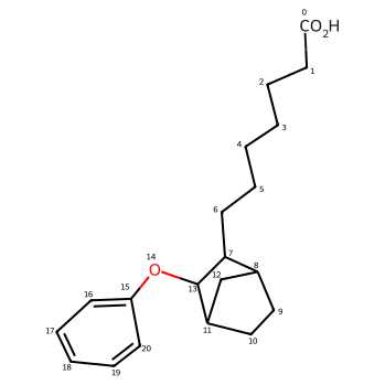 O=C(O)CCCCCCC1C2CCC(C2)C1Oc1ccccc1